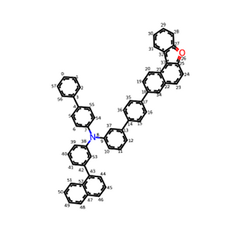 c1ccc(-c2ccc(N(c3cccc(-c4ccc(-c5ccc6c(ccc7oc8ccccc8c76)c5)cc4)c3)c3cccc(-c4cccc5ccccc45)c3)cc2)cc1